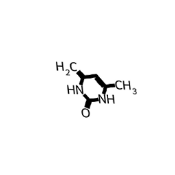 C=C1C=C(C)NC(=O)N1